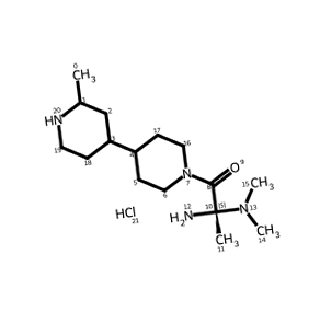 CC1CC(C2CCN(C(=O)[C@@](C)(N)N(C)C)CC2)CCN1.Cl